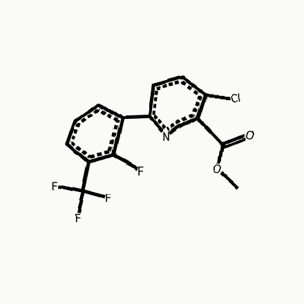 COC(=O)c1nc(-c2cccc(C(F)(F)F)c2F)ccc1Cl